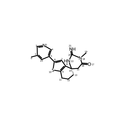 Cc1cncc(-c2cc3c(s2)CCC[C@]32CC(=O)N(C)C(=N)N2)c1